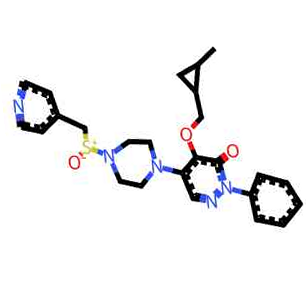 CC1CC1COc1c(N2CCN([S+]([O-])Cc3ccncc3)CC2)cnn(-c2ccccc2)c1=O